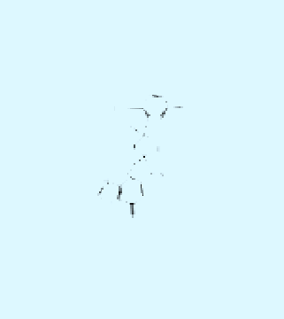 CC(C)(CC(O)(Cn1ccc(=O)c2ocnc21)C(F)(F)F)c1cc(F)ccc1O